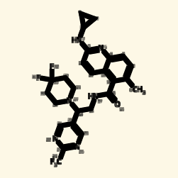 Cc1ccc2nc(NC3CC3)ccc2c1C(=O)NCC(c1cnc(C(F)(F)F)nc1)N1CCC(F)(F)CC1